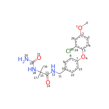 COc1ccc(Oc2ccc(CNC(=O)C(C)(C)NC(N)=O)cc2)c(Cl)c1